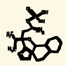 CN(C)C(CC(N)OP(=O)(O)O)(OC1CCCC2CCCCC21)c1cccs1